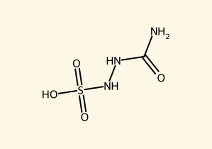 NC(=O)NNS(=O)(=O)O